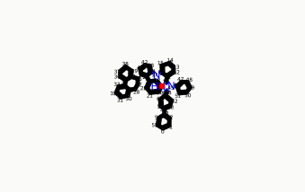 c1ccc(-c2ccc(C3NC(c4ccccc4-n4c5ccccc5c5c([C@@H]6CCc7ccccc7-c7ccccc76)cccc54)N3c3ccccc3)cc2)cc1